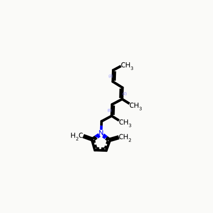 C=c1ccc(=C)n1C/C(C)=C/C(C)=C\C=C/C